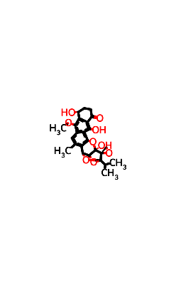 COc1c2c(c(O)c3c4c(c(C)cc13)C1OC3(C(C)C)OC1[C@@](O)(O4)[C@@]31CO1)C(=O)CC[C@@H]2O